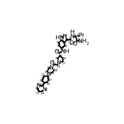 CC(C)[C@H](NC(=O)c1n[nH]c2ccc(NC(=O)[C@@H]3CCN(CC(=O)N4CCN(c5ccc(-c6ncccn6)cc5)CC4)C3)cc12)C(N)=O